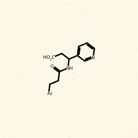 CC(=O)CCC(=O)NC(CC(=O)O)c1cccnc1